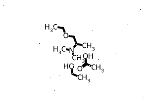 CC(=O)O.CCO.CCOCC(C)N(C)C